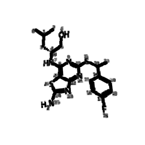 CC(C)C[C@H](CO)Nc1nc(SC(C)c2ccc(F)cc2)nc2nc(N)sc12